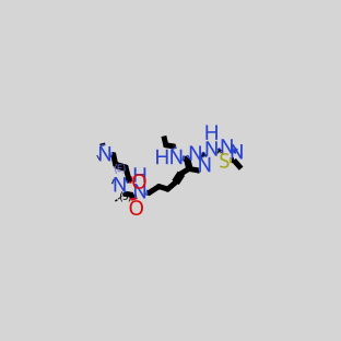 CCCNc1nc(Nc2nnc(C)s2)ncc1C#CCCCNC(=O)[C@H](C)N(C)C(=O)/C=C/CN(C)C